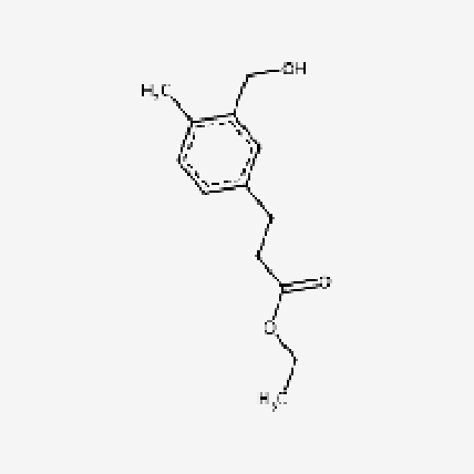 CCOC(=O)CCc1ccc(C)c(CO)c1